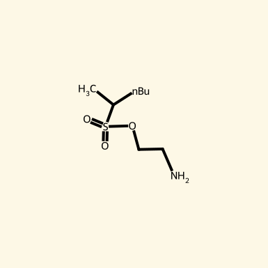 CCCCC(C)S(=O)(=O)OCCN